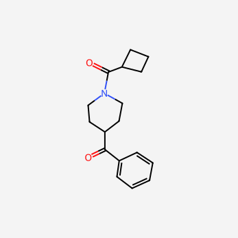 O=C(c1ccccc1)C1CCN(C(=O)C2CCC2)CC1